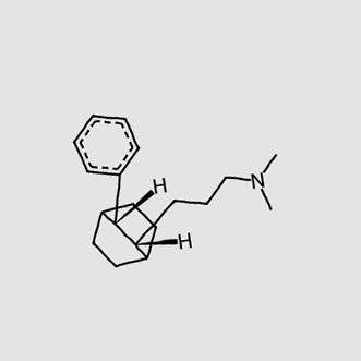 CN(C)CCC[C@@H]1C2CCC(CC2)[C@@H]1c1ccccc1